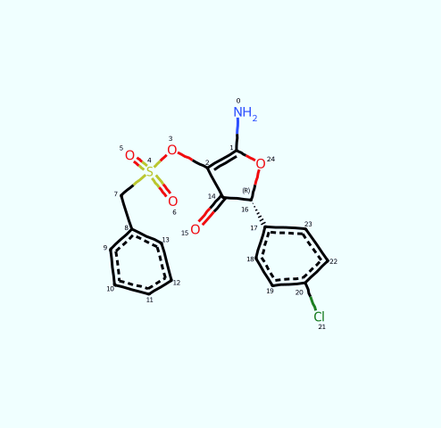 NC1=C(OS(=O)(=O)Cc2ccccc2)C(=O)[C@@H](c2ccc(Cl)cc2)O1